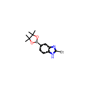 CCc1nc2cc(B3OC(C)(C)C(C)(C)O3)ccc2[nH]1